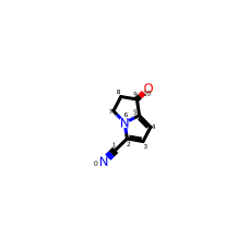 N#Cc1ccc2n1CCC2=O